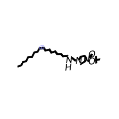 CCCCCCCC/C=C\CCCCCCCCNCCN1CCN(C(=O)OC(C)(C)C)CC1